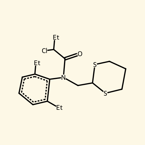 CCc1cccc(CC)c1N(CC1SCCCS1)C(=O)C(Cl)CC